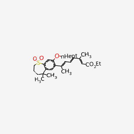 CCCCCCCOc1cc2c(cc1C(C)=CC=CC(C)=CC(=O)OCC)C(C)(C)CCCS2(=O)=O